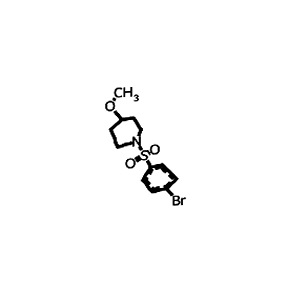 COC1CCN(S(=O)(=O)c2ccc(Br)cc2)CC1